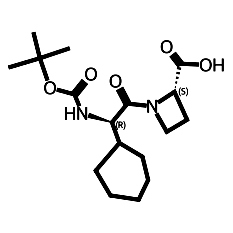 CC(C)(C)OC(=O)N[C@@H](C(=O)N1CC[C@H]1C(=O)O)C1CCCCC1